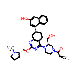 C=CC(=O)N1CCN(c2nc(OC[C@@H]3CCCN3C)nc3c2CC[C@@H](c2cc(O)cc4ccccc24)C3)[C@@H](CO)C1